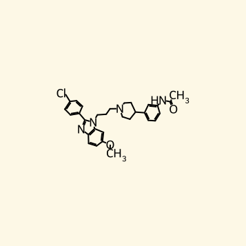 COc1ccc2nc(-c3ccc(Cl)cc3)n(CCCN3CCC(c4cccc(NC(C)=O)c4)CC3)c2c1